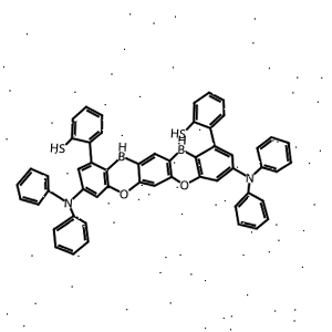 Sc1ccccc1-c1cc(N(c2ccccc2)c2ccccc2)cc2c1Bc1cc3c(cc1O2)Oc1cc(N(c2ccccc2)c2ccccc2)cc(-c2ccccc2S)c1B3